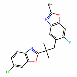 CC(C)c1nc2cc(CC(C)(C)c3nc4ccc(Cl)cc4o3)c(F)cc2o1